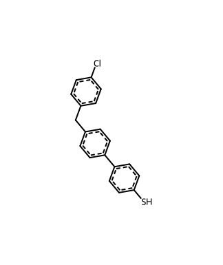 Sc1ccc(-c2ccc(Cc3ccc(Cl)cc3)cc2)cc1